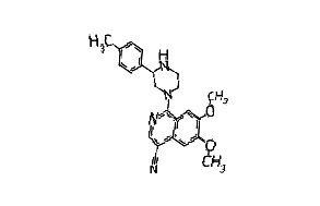 COc1cc2c(C#N)cnc(N3CCNC(c4ccc(C)cc4)C3)c2cc1OC